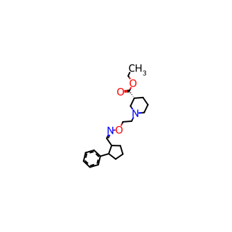 CCOC(=O)[C@@H]1CCCN(CCO/N=C\C2CCCC2c2ccccc2)C1